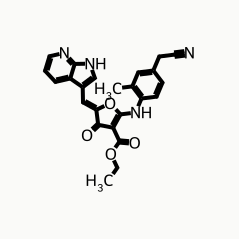 CCOC(=O)C1=C(Nc2ccc(CC#N)cc2C)O/C(=C\c2c[nH]c3ncccc23)C1=O